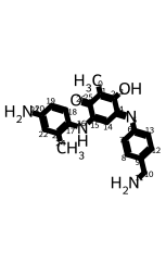 CC1=C(O)C(=Nc2ccc(CN)cc2)C=C(Nc2ccc(N)cc2C)C1=O